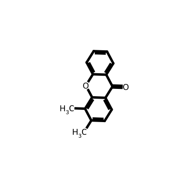 Cc1ccc2c(=O)c3ccccc3oc2c1C